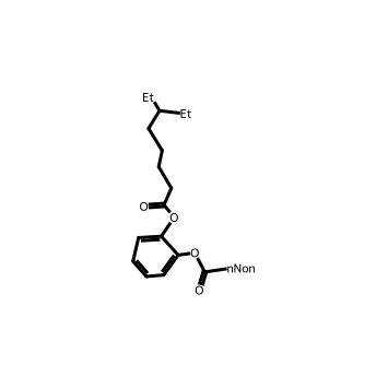 CCCCCCCCCC(=O)Oc1ccccc1OC(=O)CCCCC(CC)CC